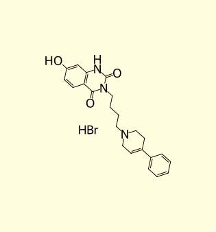 Br.O=c1[nH]c2cc(O)ccc2c(=O)n1CCCCN1CC=C(c2ccccc2)CC1